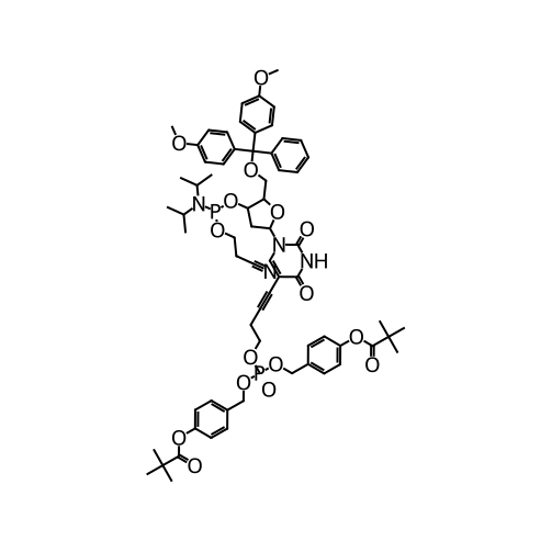 COc1ccc(C(OCC2OC(n3cc(C#CCCOP(=O)(OCc4ccc(OC(=O)C(C)(C)C)cc4)OCc4ccc(OC(=O)C(C)(C)C)cc4)c(=O)[nH]c3=O)CC2OP(OCCC#N)N(C(C)C)C(C)C)(c2ccccc2)c2ccc(OC)cc2)cc1